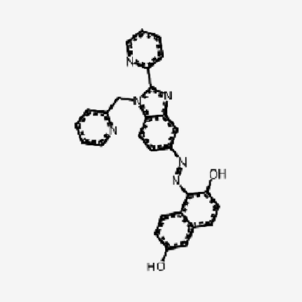 Oc1ccc2c(/N=N/c3ccc4c(c3)nc(-c3ccccn3)n4Cc3ccccn3)c(O)ccc2c1